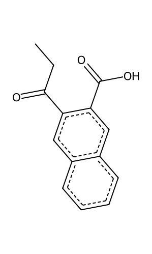 CCC(=O)c1cc2ccccc2cc1C(=O)O